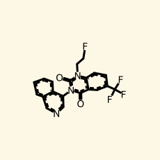 O=c1c2cc(C(F)(F)F)ccc2n(CCF)c(=O)n1-c1cncc2ccccc12